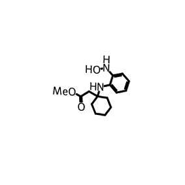 COC(=O)CC1(Nc2ccccc2NO)CCCCC1